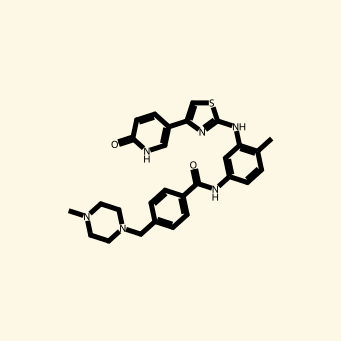 Cc1ccc(NC(=O)c2ccc(CN3CCN(C)CC3)cc2)cc1Nc1nc(-c2ccc(=O)[nH]c2)cs1